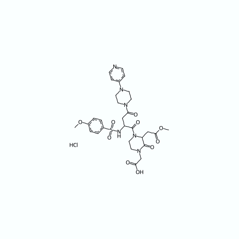 COC(=O)CC1C(=O)N(CC(=O)O)CCN1C(=O)C(CC(=O)N1CCN(c2ccncc2)CC1)NS(=O)(=O)c1ccc(OC)cc1.Cl